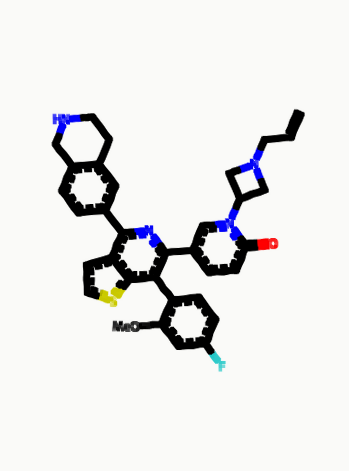 C=CCN1CC(n2cc(-c3nc(-c4ccc5c(c4)CCNC5)c4ccsc4c3-c3ccc(F)cc3OC)ccc2=O)C1